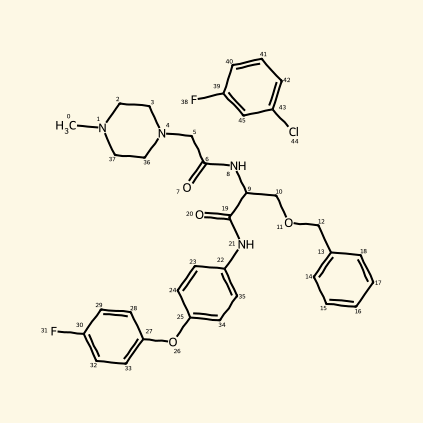 CN1CCN(CC(=O)NC(COCc2ccccc2)C(=O)Nc2ccc(Oc3ccc(F)cc3)cc2)CC1.Fc1cccc(Cl)c1